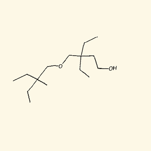 CCC(C)(CC)COCC(CC)(CC)CCO